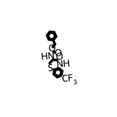 O=C(N[C@H]1CSc2ccc(C(F)(F)F)cc2NC1=O)OCc1ccccc1